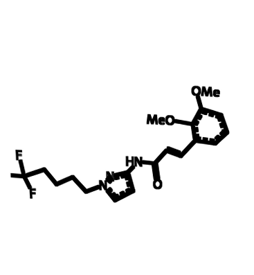 COc1cccc(C=CC(=O)Nc2ccn(CCCCC(C)(F)F)n2)c1OC